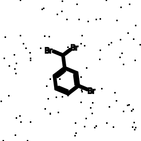 Brc1[c]ccc(C(Br)Br)c1